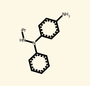 CC(C)NN(c1ccccc1)c1ccc(N)cc1